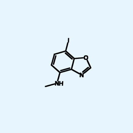 CNc1ccc(I)c2ocnc12